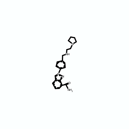 NC(=O)c1cccc2cn(-c3ccc(CNCCN4CCCC4)cc3)nc12